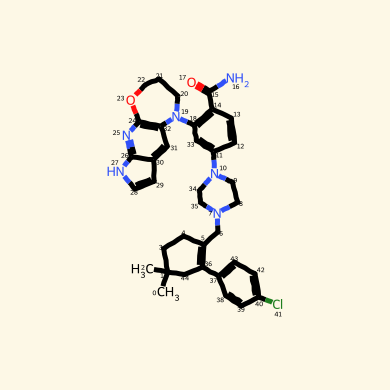 CC1(C)CCC(CN2CCN(c3ccc(C(N)=O)c(N4CCCOc5nc6[nH]ccc6cc54)c3)CC2)=C(c2ccc(Cl)cc2)C1